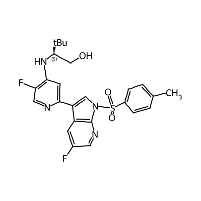 Cc1ccc(S(=O)(=O)n2cc(-c3cc(N[C@H](CO)C(C)(C)C)c(F)cn3)c3cc(F)cnc32)cc1